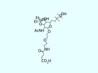 CC[Si](CC)(CC)OC1C(O)C(CCC(C)(C)[Si](C)(C)O)OC(OCCOCCNC(=O)CCC(=O)O)C1NC(C)=O